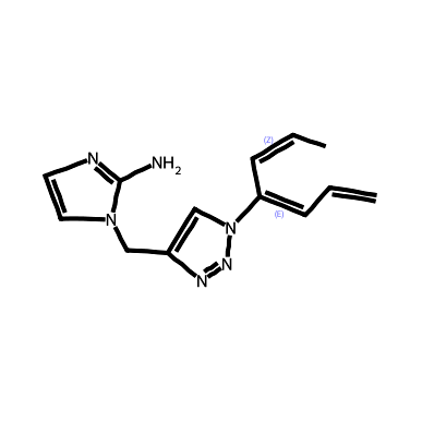 C=C/C=C(\C=C/C)n1cc(Cn2ccnc2N)nn1